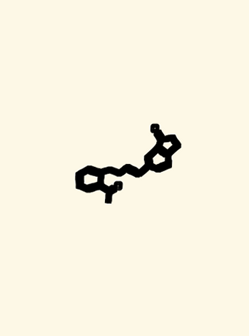 CC(=O)c1ccccc1CCC=Cc1ccc2c(c1)C(=O)CC2